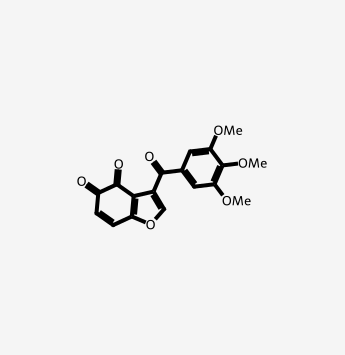 COc1cc(C(=O)c2coc3c2C(=O)C(=O)C=C3)cc(OC)c1OC